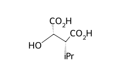 CC(C)[C@@H](C(=O)O)[C@H](O)C(=O)O